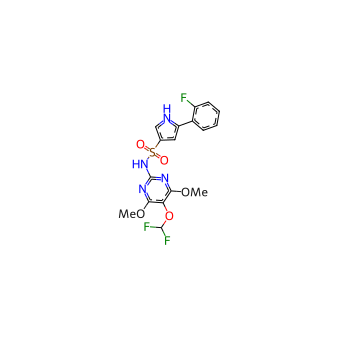 COc1nc(NS(=O)(=O)c2c[nH]c(-c3ccccc3F)c2)nc(OC)c1OC(F)F